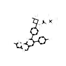 Cc1cc2ncc3cc(-c4ccc(O)cc4)c(-c4ccc([C@]5(NC(=O)OC(C)(C)C)C[C@@](C)(O)C5)cc4)nc3n2n1